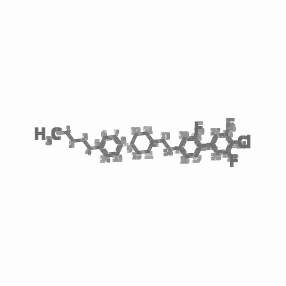 CCCCCc1ccc([C@H]2CC[C@H](CCc3ccc(-c4cc(F)c(Cl)c(F)c4)c(F)c3)CC2)cc1